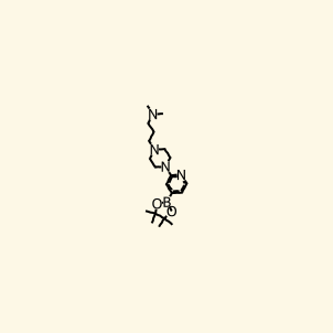 CN(C)CCCN1CCN(c2cc(B3OC(C)(C)C(C)(C)O3)ccn2)CC1